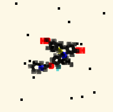 CCN(Cc1ccc(OCCN2CCCCC2)c(F)c1)c1cc(O)ccc1-c1cc2cc(O)ccc2s1